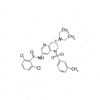 CCN(CC)[C@H]1Cc2ncc(NC(=O)c3c(Cl)cccc3Cl)cc2N(S(=O)(=O)c2cccc(C)c2)C1